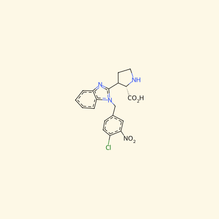 O=C(O)[C@H]1NCCC1c1nc2ccccc2n1Cc1ccc(Cl)c([N+](=O)[O-])c1